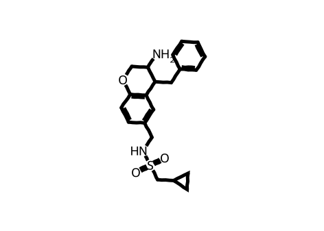 NC1COc2ccc(CNS(=O)(=O)CC3CC3)cc2C1Cc1ccccc1